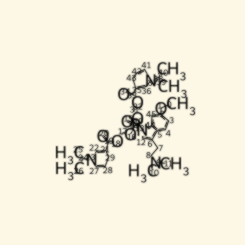 COc1ccc2c(CCN(C)C)cn(P(=O)(OCOC(=O)C3=CN(C(C)C)C=CC3)OCOC(=O)C3=CN(C(C)C)C=CC3)c2c1